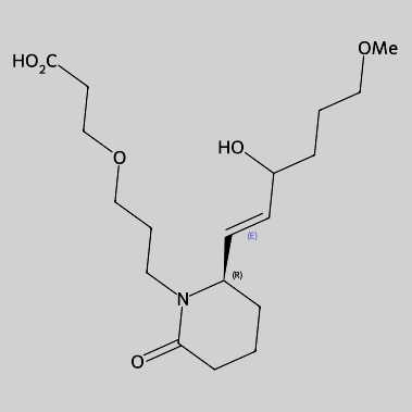 COCCCC(O)/C=C/[C@H]1CCCC(=O)N1CCCOCCC(=O)O